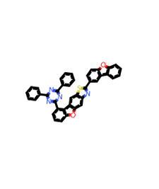 c1ccc(-c2nc(-c3ccccc3)nc(-c3cccc4oc5cc6nc(-c7ccc8oc9ccccc9c8c7)sc6cc5c34)n2)cc1